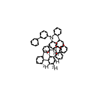 [2H]c1c([2H])c([2H])c(-c2ccccc2-c2cccc(-n3c4ccccc4c4ccc(-c5ccccc5N(c5cccc(-c6ccccc6)c5)c5cccc(-c6ccccc6)c5)cc43)c2)c([2H])c1[2H]